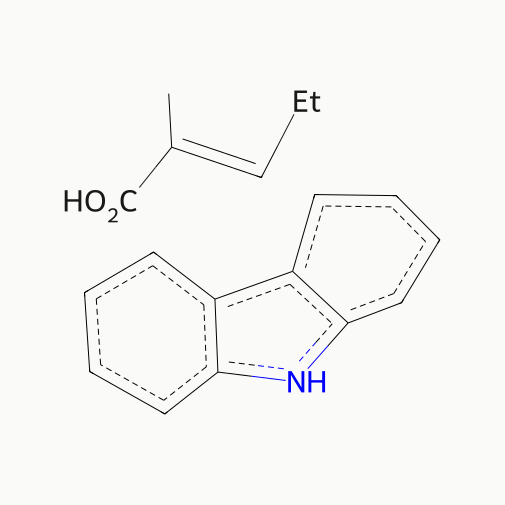 CCC=C(C)C(=O)O.c1ccc2c(c1)[nH]c1ccccc12